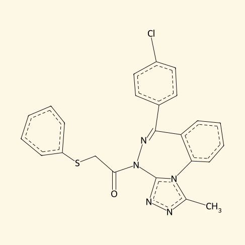 Cc1nnc2n1-c1ccccc1C(c1ccc(Cl)cc1)=NN2C(=O)CSc1ccccc1